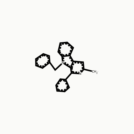 [CH2]c1cc2c3ccccc3n(Cc3ccccc3)c2c(-c2ccccc2)n1